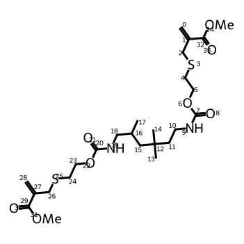 C=C(CSCCOC(=O)NCCC(C)(C)CC(C)CNC(=O)OCCSCC(=C)C(=O)OC)C(=O)OC